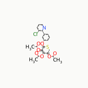 CC(=O)O[C@@H]1[C@@H](OC(C)=O)[C@@H](Oc2cccc(-c3ncccc3Cl)c2)SC[C@H]1OC(C)=O